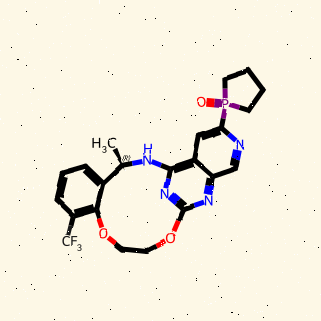 C[C@H]1Nc2nc(nc3cnc(P4(=O)CCCC4)cc23)OCCOc2c1cccc2C(F)(F)F